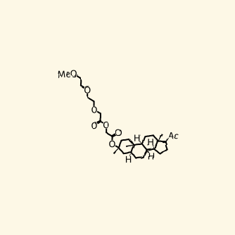 COCCOCCOCC(=O)OCC(=O)O[C@]1(C)CC[C@@]2(C)[C@@H](CC[C@@H]3[C@@H]2CC[C@]2(C)[C@@H](C(C)=O)CC[C@@H]32)C1